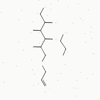 C=CCOCC(O)C(O)C(O)C(O)CO.OCCO